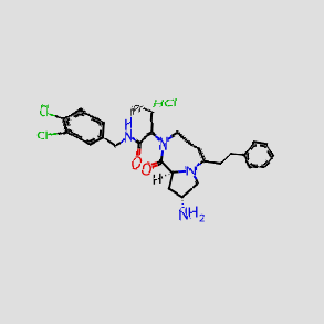 CC(C)CC(C(=O)NCc1ccc(Cl)c(Cl)c1)N1CCC(CCc2ccccc2)N2C[C@H](N)C[C@H]2C1=O.Cl